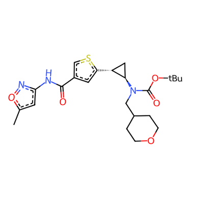 Cc1cc(NC(=O)c2csc([C@@H]3C[C@H]3N(CC3CCOCC3)C(=O)OC(C)(C)C)c2)no1